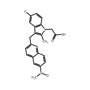 Cc1c(Cc2ccc3cc([S+](C)[O-])ccc3n2)c2cc(F)ccc2n1CC(=O)O